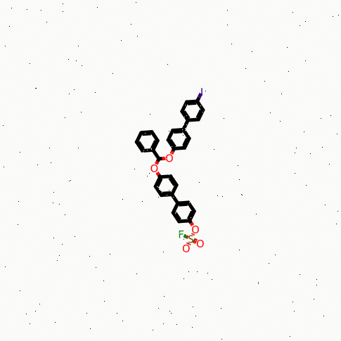 O=S(=O)(F)Oc1ccc(-c2ccc(OC(Oc3ccc(-c4ccc(I)cc4)cc3)c3ccccc3)cc2)cc1